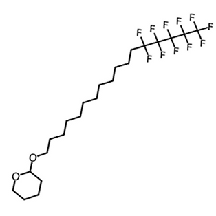 FC(F)(F)C(F)(F)C(F)(F)C(F)(F)C(F)(F)CCCCCCCCCCCCOC1CCCCO1